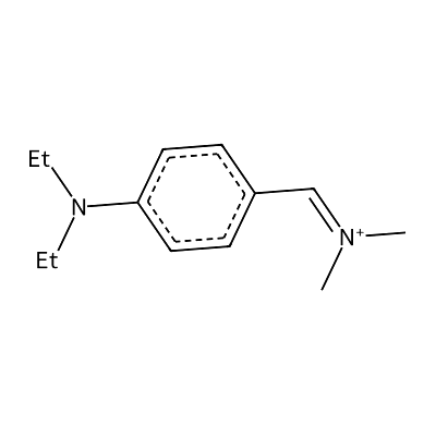 CCN(CC)c1ccc(C=[N+](C)C)cc1